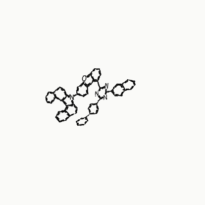 c1ccc(-c2ccc(-c3nc(-c4ccc5ccccc5c4)nc(-c4cccc5oc6cc(-n7c8ccc9ccccc9c8c8c9ccccc9ccc87)ccc6c45)n3)cc2)cc1